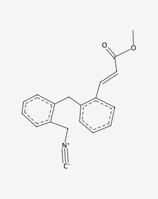 [C-]#[N+]Cc1ccccc1Cc1ccccc1/C=C/C(=O)OC